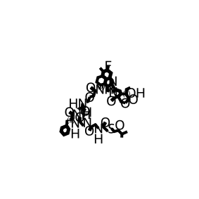 CC[C@@]1(O)C(=O)OCc2c1cc1n(c2=O)Cc2c-1nc1cc(F)c(C)c3c1c2[C@@H](NC(=O)COCNC(=O)CNC(=O)[C@H](Cc1ccccc1)NC(=O)CNC(=O)CNC(=O)CSCC(=O)C(C)C)CC3